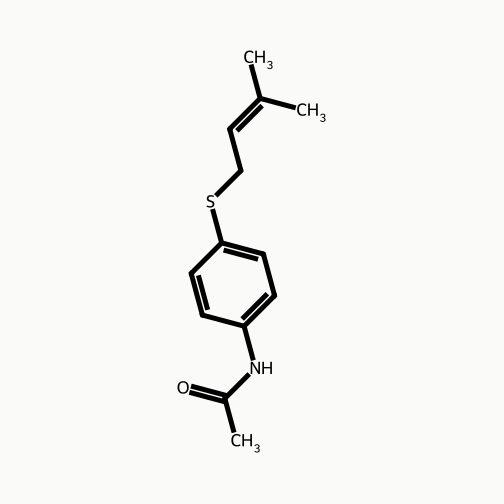 CC(=O)Nc1ccc(SCC=C(C)C)cc1